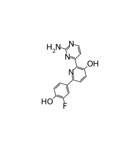 Nc1nccc(-c2nc(-c3ccc(O)c(F)c3)ccc2O)n1